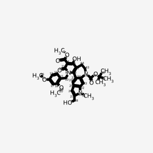 COC(=O)c1c(O)c2c(n(Cc3ccc(OC)cc3OC)c1=O)-c1cc3cc(CO)n(C)c3cc1N(C(=O)OC(C)(C)C)CC2